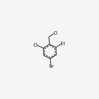 CCc1cc(Br)cc(Cl)c1CCl